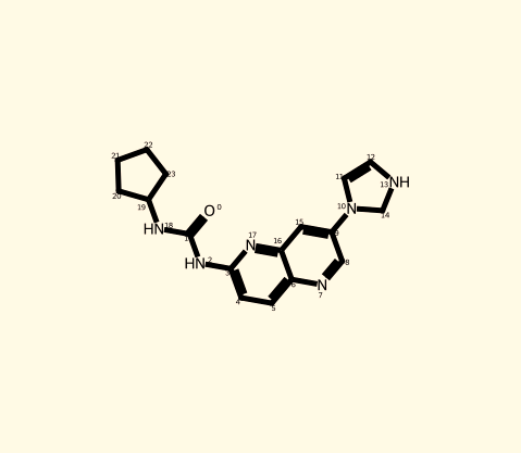 O=C(Nc1ccc2ncc(N3C=CNC3)cc2n1)NC1CCCC1